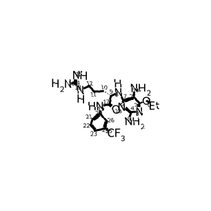 CCOc1nc(N)nc(N[C@@H](CCCNC(=N)N)C(=O)Nc2cccc(C(F)(F)F)c2)c1N